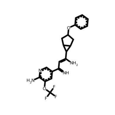 N=C(/C=C(\N)C1C2CC(Oc3ccccc3)CC21)c1cnc(N)c(OC(F)(F)F)c1